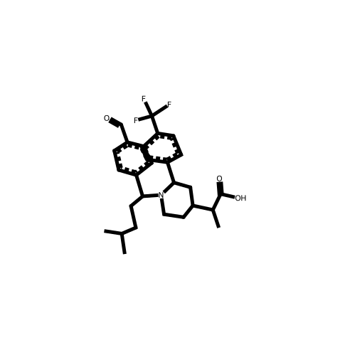 CC(C)CCC(c1ccc(C=O)cc1)N1CCC(C(C)C(=O)O)CC1c1ccc(C(F)(F)F)cc1